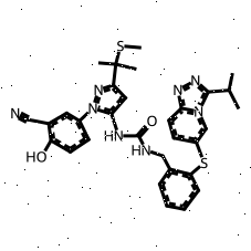 CSC(C)(C)c1cc(NC(=O)NCc2ccccc2Sc2ccc3nnc(C(C)C)n3c2)n(-c2ccc(O)c(C#N)c2)n1